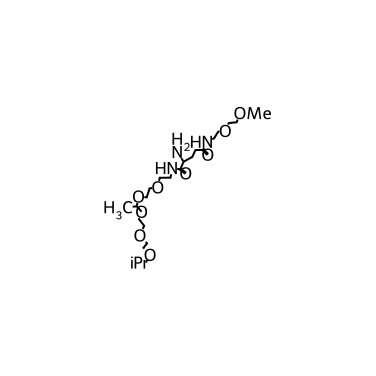 COCCOCCNC(=O)CCC(N)C(=O)NCCOCCOC(C)OCCOCCOC(C)C